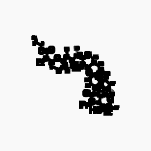 C=CCOC(=O)[C@H](CC)[C@H]1CC[C@H](C)[C@H]([C@@H](C)[C@H](O)[C@H](C)C(=O)[C@H](CC)[C@H]2O[C@]3(C=C[C@@H](OC(=O)OC(C)C)[C@]4(CC[C@@](C)([C@H]5CC[C@](O)(CC)[C@H](C)O5)O4)O3)[C@H](C)C[C@@H]2C)O1